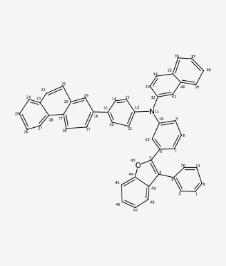 c1ccc(-c2c(-c3cccc(N(c4ccc(-c5ccc6c(ccc7ccccc76)c5)cc4)c4ccc5ccccc5c4)c3)oc3ccccc23)cc1